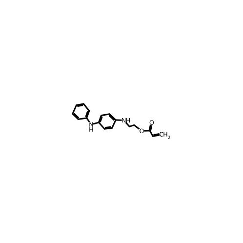 C=CC(=O)OCCNc1ccc(Nc2ccccc2)cc1